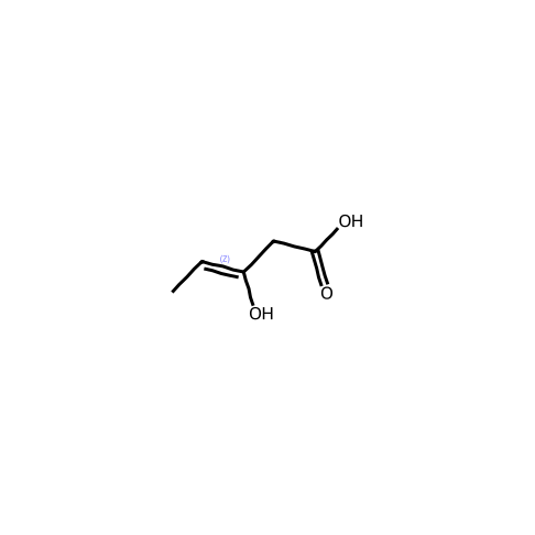 C/C=C(\O)CC(=O)O